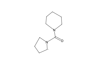 O=C(N1[CH]CCC1)N1CCCCC1